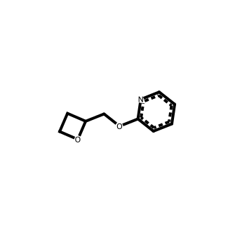 c1ccc(OCC2CCO2)nc1